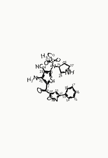 CS(=O)(=O)N(c1sc(C(=O)c2cc(-c3ccccc3)no2)c(N)c1C#N)C1CCNC1